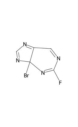 FC1=NC2(Br)N=CN=C2C=N1